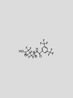 O=C(NS(=O)(=O)C(F)(F)C(F)(F)C(F)(F)S(=O)O)c1cc(C(F)(F)F)cc(C(F)(F)F)c1